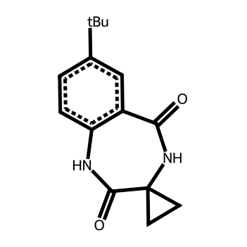 CC(C)(C)c1ccc2c(c1)C(=O)NC1(CC1)C(=O)N2